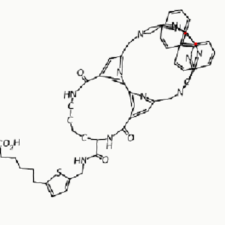 O=C(O)CCCCCc1ccc(CNC(=O)C2CCCCNC(=O)c3cc4nc(c3)-c3cc(cc(n3)CN3Cc5cccc(n5)-c5cccc(n5)CN(Cc5cccc(n5)-c5cccc(n5)C3)C4)C(=O)N2)s1